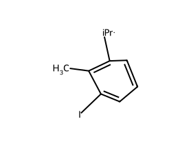 C[C](C)c1cccc(I)c1C